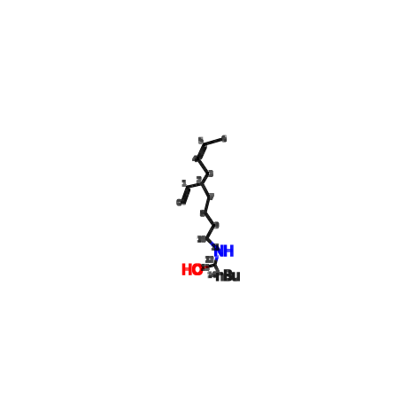 C=CC(C/C=C\C)CCCCNC(O)CCCC